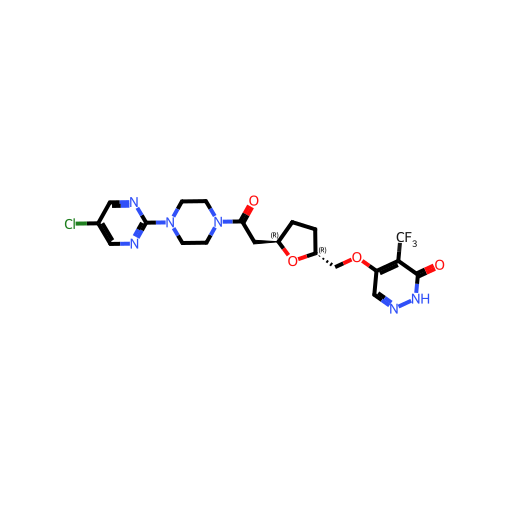 O=C(C[C@H]1CC[C@H](COc2cn[nH]c(=O)c2C(F)(F)F)O1)N1CCN(c2ncc(Cl)cn2)CC1